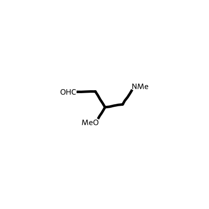 CNCC(CC=O)OC